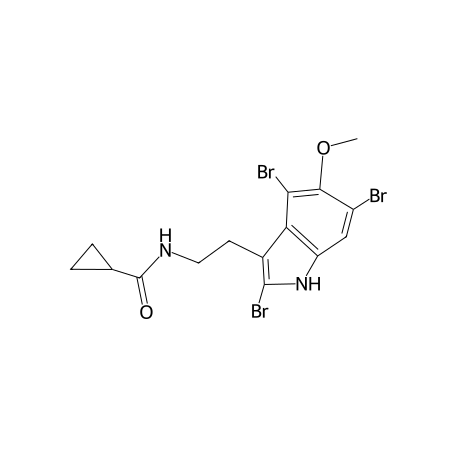 COc1c(Br)cc2[nH]c(Br)c(CCNC(=O)C3CC3)c2c1Br